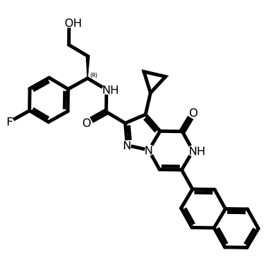 O=C(N[C@H](CCO)c1ccc(F)cc1)c1nn2cc(-c3ccc4ccccc4c3)[nH]c(=O)c2c1C1CC1